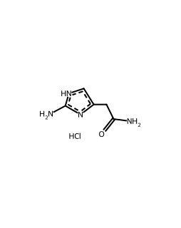 Cl.NC(=O)Cc1c[nH]c(N)n1